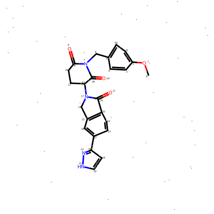 COc1ccc(CN2C(=O)CCC(N3Cc4cc(-c5cc[nH]n5)ccc4C3=O)C2=O)cc1